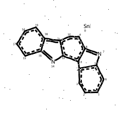 [Sn].c1ccc2c(c1)N=c1ccc3c(c1-2)N=c1ccccc1=3